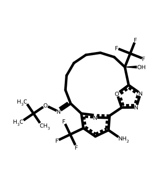 CC(C)(C)O/N=C1\CCCCCC[C@](O)(C(F)(F)F)c2nnc(o2)-c2nc1c(C(F)(F)F)cc2N